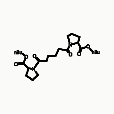 CCCCOC(=O)C1CCCN1C(=O)CCCCC(=O)N1CCCC1C(=O)OCCCC